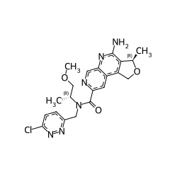 COC[C@@H](C)N(Cc1ccc(Cl)nn1)C(=O)c1cc2c3c(c(N)nc2cn1)[C@@H](C)OC3